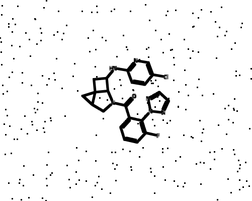 O=C(c1cccc(F)c1-n1nccn1)N1CC2CC23CC(Nc2ccc(Cl)cn2)C13